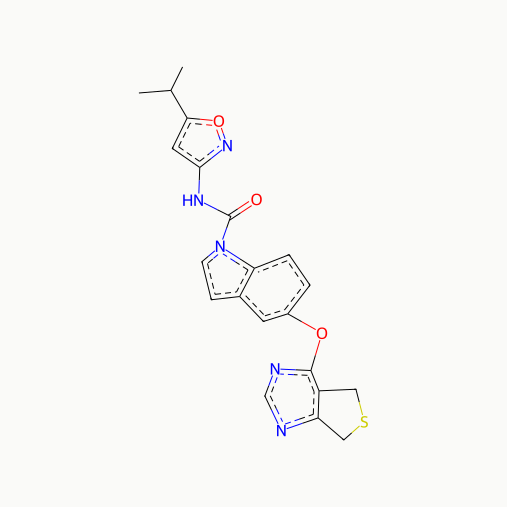 CC(C)c1cc(NC(=O)n2ccc3cc(Oc4ncnc5c4CSC5)ccc32)no1